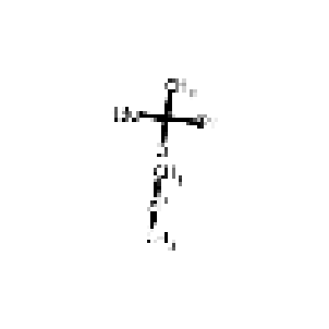 CC(C)C(C)([O-])C(C)(C)C.[CH3][Al+][CH3]